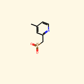 Cc1ccnc(C[SH](=O)=O)c1